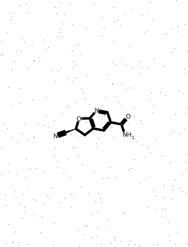 N#C[C@@H]1Cc2cc(C(N)=O)cnc2O1